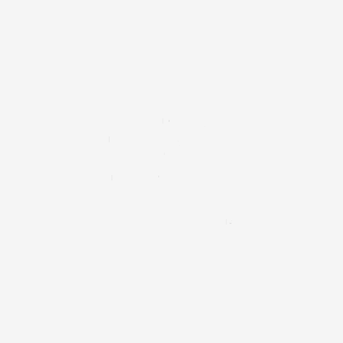 CS(=O)(=O)c1ccc(Br)cc1OCC(F)F